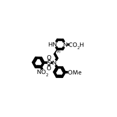 COc1cccc(N(CC[C@@H]2CN(C(=O)O)CCN2)S(=O)(=O)c2ccccc2[N+](=O)[O-])c1